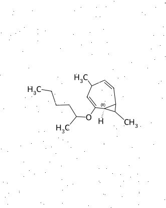 CCCCC(C)OC1=CC(C)C=CC2C(C)[C@@H]12